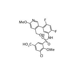 COc1cc(CO)c(-c2cc(NS(=O)(=O)c3cc(C(=O)O)cc(Cl)c3OC)c(F)cc2F)cn1